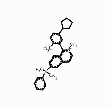 Cc1ccc(C2CCCC2)cc1-c1c2ccc([Si](C)(C)c3ccccc3)cc2cc[n+]1C